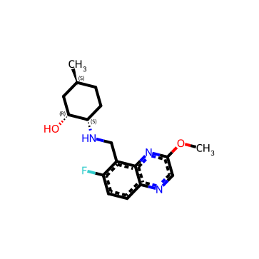 COc1cnc2ccc(F)c(CN[C@H]3CC[C@H](C)C[C@H]3O)c2n1